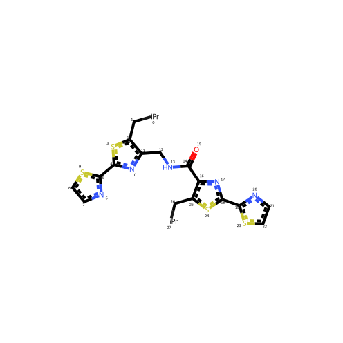 CC(C)Cc1sc(-c2nccs2)nc1CNC(=O)c1nc(-c2nccs2)sc1CC(C)C